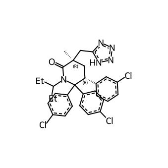 CCC(CC)N1C(=O)[C@@](C)(Cc2nnn[nH]2)C[C@H](c2cccc(Cl)c2)C1(c1ccc(Cl)cc1)c1ccc(Cl)cc1